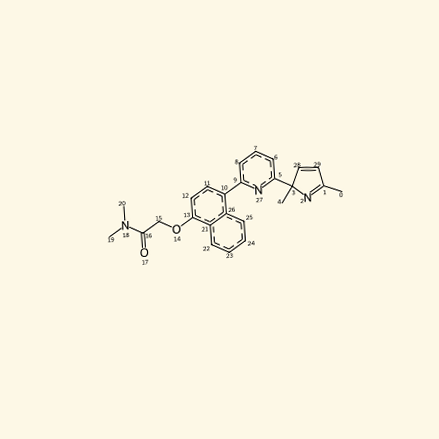 CC1=NC(C)(c2cccc(-c3ccc(OCC(=O)N(C)C)c4ccccc34)n2)C=C1